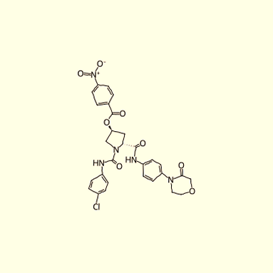 O=C(O[C@H]1C[C@H](C(=O)Nc2ccc(N3CCOCC3=O)cc2)N(C(=O)Nc2ccc(Cl)cc2)C1)c1ccc([N+](=O)[O-])cc1